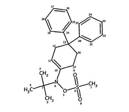 CC(C)(C)N(OS(C)(=O)=O)C1=CCC(c2ccccc2)(c2ccccc2)CC1